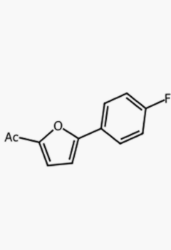 CC(=O)c1ccc(-c2ccc(F)cc2)o1